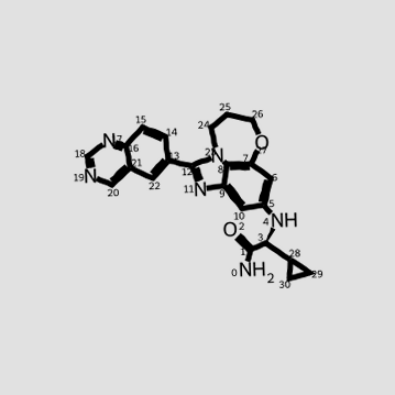 NC(=O)[C@@H](Nc1cc2c3c(c1)nc(-c1ccc4ncncc4c1)n3CCCO2)C1CC1